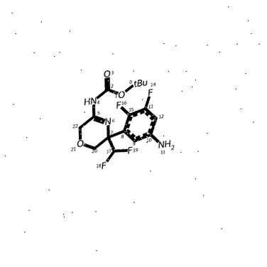 CC(C)(C)OC(=O)NC1=NC(c2cc(N)cc(F)c2F)(C(F)F)COC1